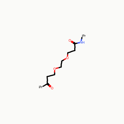 CC(C)NC(=O)CCOCCOCCC(=O)C(C)C